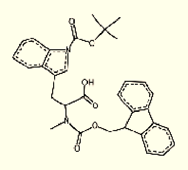 CN(C(=O)OCC1c2ccccc2-c2ccccc21)C(Cc1cn(C(=O)OC(C)(C)C)c2ccccc12)C(=O)O